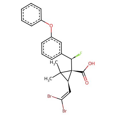 CC1(C)[C@H](C=C(Br)Br)[C@@]1(C(=O)O)[C@H](F)c1cccc(Oc2ccccc2)c1